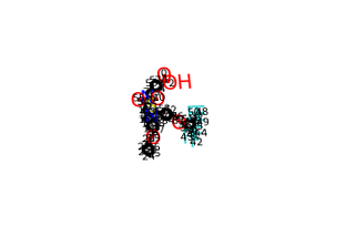 O=C(O)c1ccc(CN2C(=O)SC(=Cc3cc4cc(OCc5ccccc5)ccc4n3Cc3ccc(COc4cc(C(F)(F)F)cc(C(F)(F)F)c4)cc3)C2=O)cc1